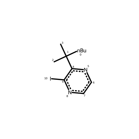 CCCCC(C)(C)c1nccnc1I